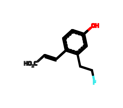 O=C(O)C=Cc1ccc(O)cc1CCF